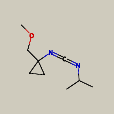 COCC1(N=C=NC(C)C)CC1